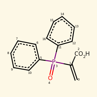 C=C(C(=O)O)P(=O)(c1ccccc1)c1ccccc1